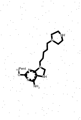 CCC[C@H](C)Oc1nc(N)c2c(n1)N(CCCCCN1CCNCC1)CN2